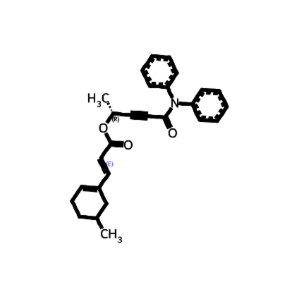 CC1CCC=C(/C=C/C(=O)O[C@H](C)C#CC(=O)N(c2ccccc2)c2ccccc2)C1